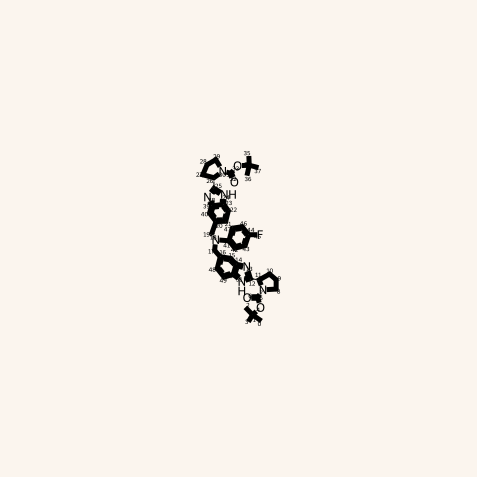 CC(C)(C)OC(=O)N1CCC[C@H]1c1nc2cc(CN(Cc3ccc4[nH]c([C@@H]5CCCN5C(=O)OC(C)(C)C)nc4c3)c3ccc(F)cc3)ccc2[nH]1